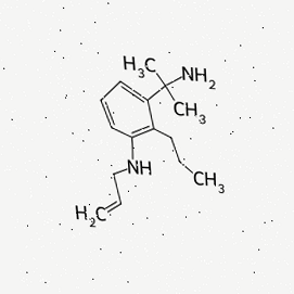 C=CCNc1cccc(C(C)(C)N)c1CCC